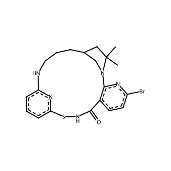 CC1(C)CC2CCCNc3cccc(n3)SNC(=O)c3ccc(Br)nc3N1C2